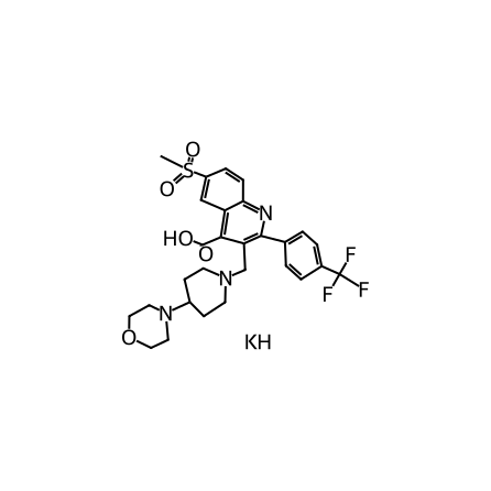 CS(=O)(=O)c1ccc2nc(-c3ccc(C(F)(F)F)cc3)c(CN3CCC(N4CCOCC4)CC3)c(C(=O)O)c2c1.[KH]